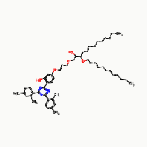 CCCCCCCCCCCCOC(CCCCCCCCCC)C(O)COCCCOc1ccc(-c2nc(-c3ccc(C)cc3C)nc(-c3ccc(C)cc3C)n2)c(O)c1